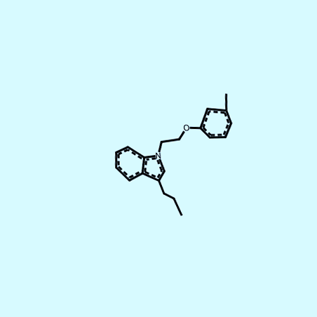 CCCc1cn(CCOc2cccc(C)c2)c2ccccc12